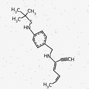 C#C/C(=C\C=C/C)NCc1ccc(NSC(C)(C)C)cc1